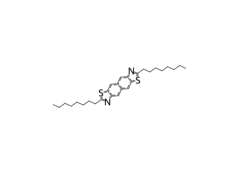 CCCCCCCCc1nc2cc3cc4sc(CCCCCCCC)nc4cc3cc2s1